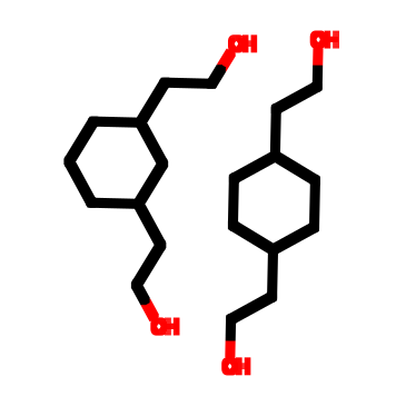 OCCC1CCC(CCO)CC1.OCCC1CCCC(CCO)C1